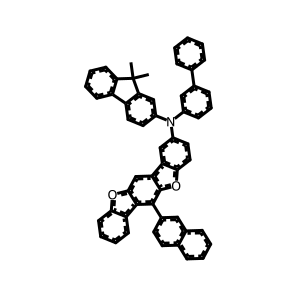 CC1(C)c2ccccc2-c2ccc(N(c3cccc(-c4ccccc4)c3)c3ccc4oc5c(-c6ccc7ccccc7c6)c6c(cc5c4c3)oc3ccccc36)cc21